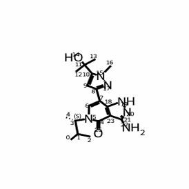 CC(C)[C@H](C)n1cc(-c2cc(C(C)(C)O)n(C)n2)c2[nH]nc(N)c2c1=O